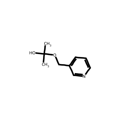 CC(C)(O)OCc1cccnc1